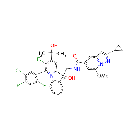 COc1cc(C(=O)NC[C@@](O)(c2ccccc2)c2cc(C(C)(C)O)c(F)c(-c3cc(Cl)c(F)cc3F)n2)cc2cc(C3CC3)nn12